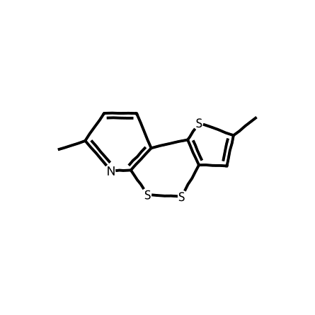 Cc1ccc2c(n1)SSc1cc(C)sc1-2